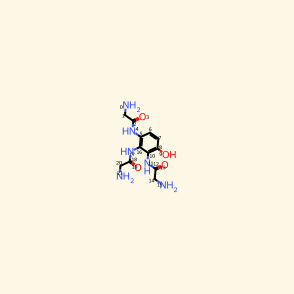 NCC(=O)Nc1ccc(O)c(NC(=O)CN)c1NC(=O)CN